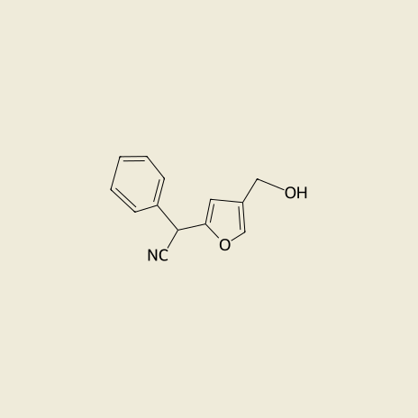 N#CC(c1ccccc1)c1cc(CO)co1